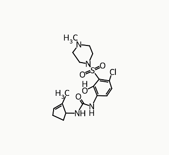 CC1=CCCC1NC(=O)Nc1ccc(Cl)c(S(=O)(=O)N2CCN(C)CC2)c1O